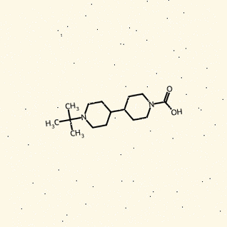 CC(C)(C)N1CCC(C2CCN(C(=O)O)CC2)CC1